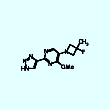 COc1nc(-c2c[nH]nn2)ncc1N1CC(C)(F)C1